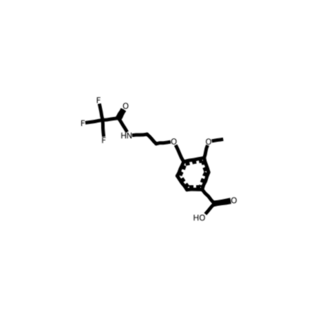 COc1cc(C(=O)O)ccc1OCCNC(=O)C(F)(F)F